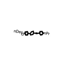 CCCCCCCCCCOc1ccc(C2CCC(C#Cc3ccc(CCC)cc3)CC2)cc1